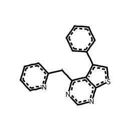 [CH](c1ccccn1)c1ncnc2scc(-c3ccccc3)c12